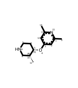 Cc1cc(O[C@H]2CCNC[C@H]2C)cc(C)n1